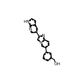 OCc1cccc(-c2ccc3nc(-c4cnc5[nH]ccc5c4)cn3c2)c1